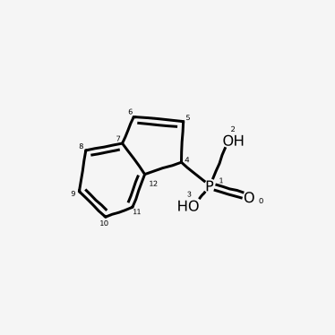 O=P(O)(O)C1C=Cc2ccccc21